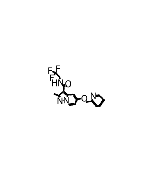 Cc1nn2ccc(OCc3ccccn3)cc2c1C(=O)NCC(F)(F)F